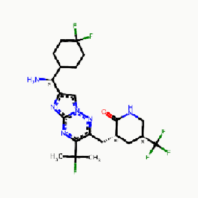 CC(C)(F)c1nc2nc([C@@H](N)C3CCC(F)(F)CC3)cn2nc1C[C@H]1C[C@H](C(F)(F)F)CNC1=O